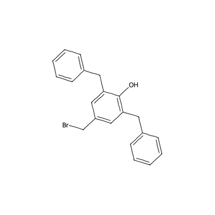 Oc1c(Cc2ccccc2)cc(CBr)cc1Cc1ccccc1